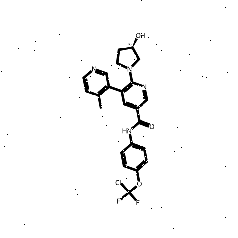 Cc1ccncc1-c1cc(C(=O)Nc2ccc(OC(F)(F)Cl)cc2)cnc1N1CC[C@@H](O)C1